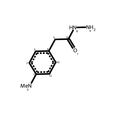 CNc1ccc(CC(=O)NN)cc1